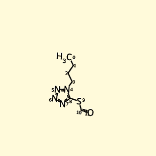 CCCCn1nnnc1SC=O